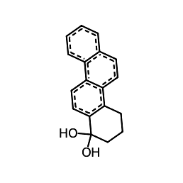 OC1(O)CCCc2c1ccc1c2ccc2ccccc21